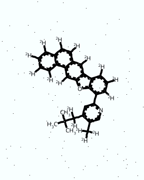 [2H]c1c([2H])c([2H])c2c(oc3c([2H])c4c(c([2H])c([2H])c5c([2H])c([2H])c([2H])c([2H])c54)c([2H])c32)c1-c1cc(C([2H])([2H])C(C)(C)C)c(C([2H])([2H])[2H])cn1